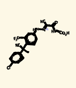 CC(C#N)(c1ccc(Cl)cc1)c1ccc(N/N=C(\C#N)C(=O)NC(=O)O)cc1C(F)(F)F